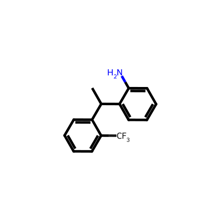 CC(c1ccccc1N)c1ccccc1C(F)(F)F